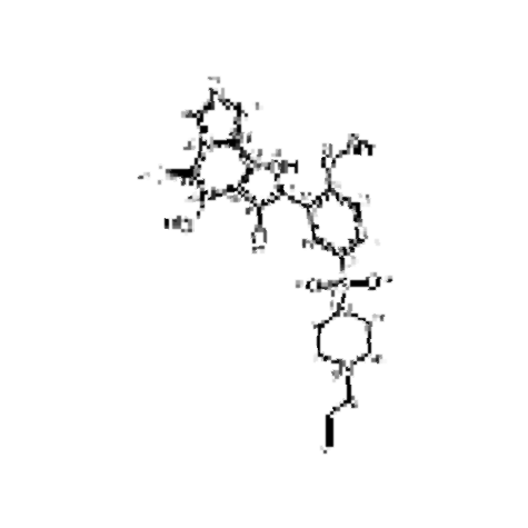 C=CCN1CCN(S(=O)(=O)c2ccc(OCCC)c(-c3[nH]c4c(c3Cl)n(CCC)c(=O)n3cnnc43)c2)CC1